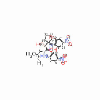 CC(C)C[C@H](Nc1ccc([N+](=O)[O-])cc1)C(O)C(O)C1(Nc2ccc([N+](=O)[O-])cc2Br)CCCC1